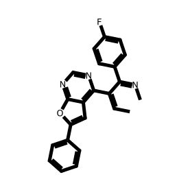 C/C=C(\C(=N/C)c1ccc(F)cc1)c1ncnc2oc(-c3ccccc3)cc12